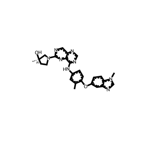 Cc1cc(Nc2ncnc3cnc(N4CC[C@@](C)(O)C4)nc23)ccc1Oc1ccc2c(c1)ncn2C